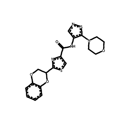 O=C(Nc1cnsc1N1CCOCC1)c1csc(C2COc3ccccc3O2)n1